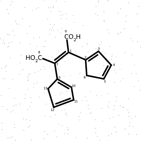 O=C(O)C(C1=CC=CC1)=C(C(=O)O)C1=CC=CC1